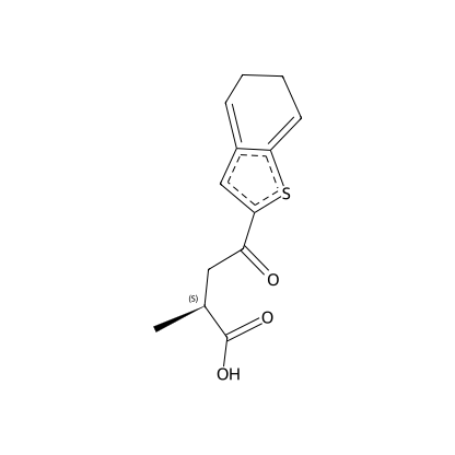 C[C@@H](CC(=O)c1cc2c(s1)=CCCC=2)C(=O)O